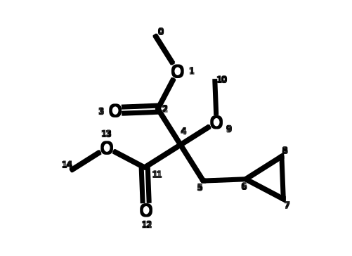 COC(=O)C(CC1CC1)(OC)C(=O)OC